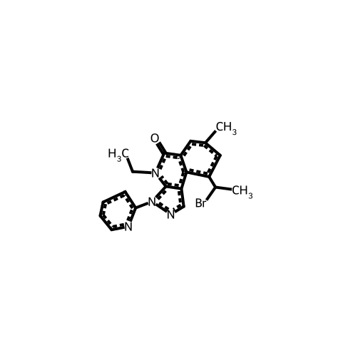 CCn1c(=O)c2cc(C)cc(C(C)Br)c2c2cnn(-c3ccccn3)c21